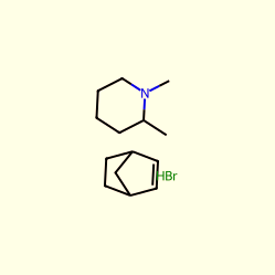 Br.C1=CC2CCC1C2.CC1CCCCN1C